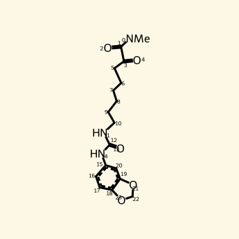 CNC(=O)C(=O)CCCCCCNC(=O)Nc1ccc2c(c1)OCO2